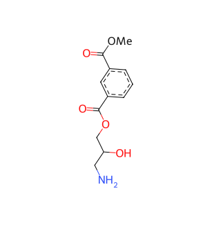 COC(=O)c1cccc(C(=O)OCC(O)CN)c1